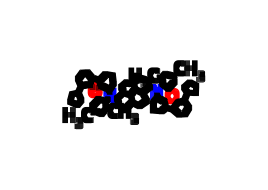 Cc1ccc(N(c2ccc3ccc4c(N(c5ccc(C)cc5C)c5cccc6c5oc5c(C7CCCC7)cccc56)ccc5ccc2c3c54)c2cccc3c2oc2c(C4CCCC4)cccc23)c(C)c1